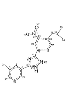 Cc1cc(-c2nc(-c3ccc(CC(C)C)c([N+](=O)[O-])c3)n[nH]2)ccn1